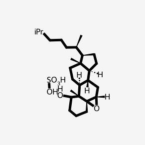 CC(C)CCC[C@@H](C)[C@H]1CC[C@H]2[C@@H]3C[C@@H]4O[C@@]45CCCC(O)[C@]5(C)[C@H]3CC[C@]12C.O=S(=O)(O)O